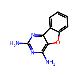 Nc1nc(N)c2oc3ccccc3c2n1